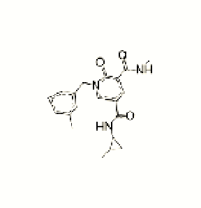 CNC(=O)c1cc(C(=O)NC2CC2C)cn(Cc2cccc(C)c2)c1=O